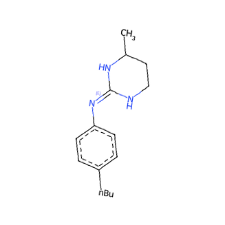 CCCCc1ccc(/N=C2\NCCC(C)N2)cc1